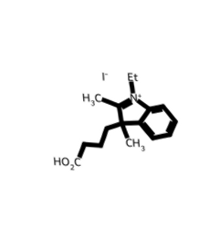 CC[N+]1=C(C)C(C)(CCCC(=O)O)c2ccccc21.[I-]